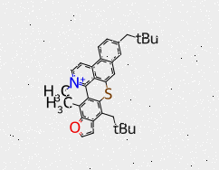 Cc1c2c(c(CC(C)(C)C)c3ccoc13)Sc1cc3cc(CC(C)(C)C)ccc3c3cc[n+](C)c-2c13